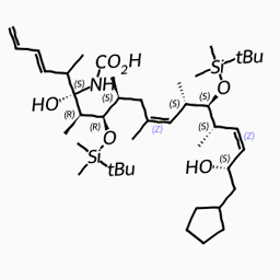 C=CC=CC(C)[C@@](O)(NC(=O)O)[C@H](C)[C@H](O[Si](C)(C)C(C)(C)C)[C@@H](C)C/C(C)=C\[C@H](C)[C@@H](O[Si](C)(C)C(C)(C)C)[C@@H](C)/C=C\[C@@H](O)CC1CCCC1